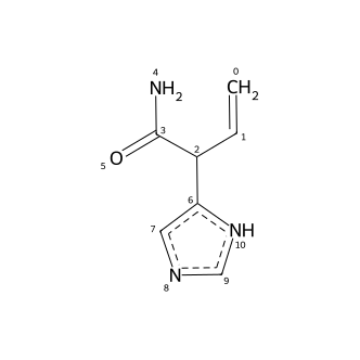 C=CC(C(N)=O)c1cnc[nH]1